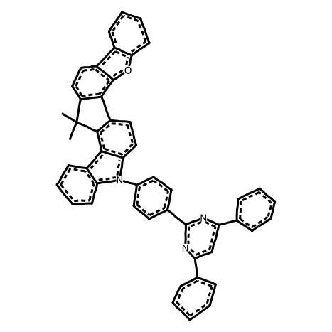 CC1(C)c2ccc3c(oc4ccccc43)c2-c2ccc3c(c21)c1ccccc1n3-c1ccc(-c2nc(-c3ccccc3)cc(-c3ccccc3)n2)cc1